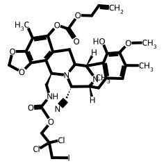 C=CCOC(=O)Oc1c(C)c2c(c3c1CC1[C@@H]4c5c(cc(C)c(OC)c5O)C[C@H]([C@H](C#N)N1[C@H]3CNC(=O)OCC(Cl)(Cl)CI)N4C)OCO2